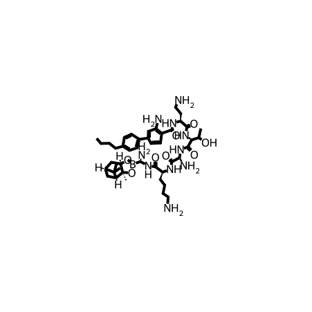 CCCCc1ccc(-c2ccc(C(=O)N[C@@H](CCN)C(=O)N[C@H](C(=O)N[C@@H](N)C(=O)N[C@@H](CCCCN)C(=O)N[C@@H](N)B3O[C@@H]4C[C@@H]5C[C@@H](C5(C)C)[C@]4(C)O3)C(C)O)c(N)c2)cc1